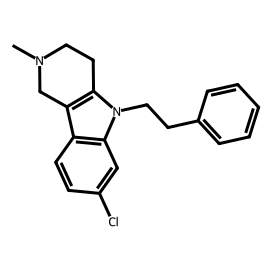 CN1CCc2c(c3ccc(Cl)cc3n2CCc2ccccc2)C1